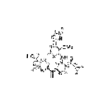 COc1c(Nc2cc(Nc3ccc(C(C)(C)O)c(F)n3)ncc2C(=O)C2CC2)cccc1-c1ncn(C)n1